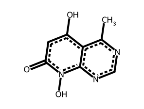 Cc1ncnc2c1c(O)cc(=O)n2O